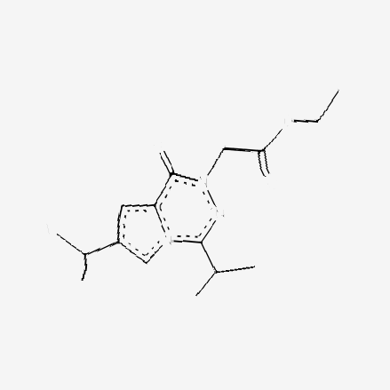 CCOC(=O)Cn1nc(C(C)C)n2cc(C(F)F)cc2c1=O